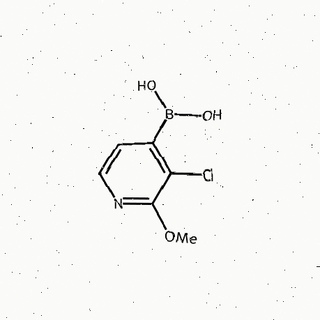 COc1nccc(B(O)O)c1Cl